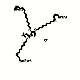 CCCCC/C=C\C/C=C\CCCCCCCCOC(C[N+](C)(C)C)[C@H]1OC[C@H](OCCCCCCCC/C=C\C/C=C\CCCCC)[C@H]1OCCCCCCCC/C=C\C/C=C\CCCCC.[Cl-]